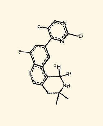 [2H]C1([2H])NC(C)(C)Cc2cnc3c(F)cc(-c4nc(Cl)ncc4F)cc3c21